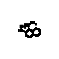 NNc1ccc2ccccc2c1NN